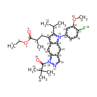 CCOC(=O)C(C)Cc1c(C(C)C)n(-c2ccc(F)c(OC)c2)c2cc3cnn(C(=O)C(C)(C)C)c3cc12